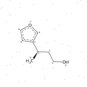 C[C@H](CCO)c1[c]occ1